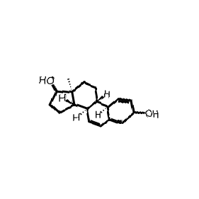 C[C@]12CC[C@H]3[C@@H](C=CC4=CC(O)C=C[C@@H]43)[C@@H]1CCC2O